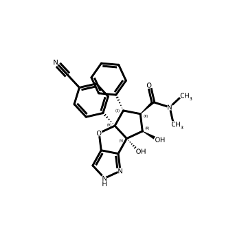 CN(C)C(=O)[C@H]1[C@@H](O)[C@@]2(O)c3n[nH]cc3O[C@@]2(c2ccc(C#N)cc2)[C@@H]1c1ccccc1